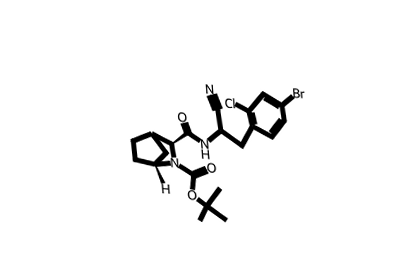 CC(C)(C)OC(=O)N1[C@@H]2CCC(C2)[C@H]1C(=O)NC(C#N)Cc1ccc(Br)cc1Cl